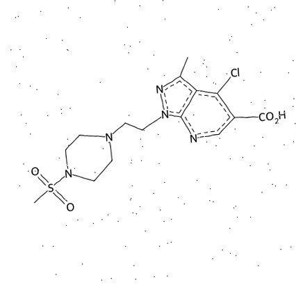 Cc1nn(CCN2CCN(S(C)(=O)=O)CC2)c2ncc(C(=O)O)c(Cl)c12